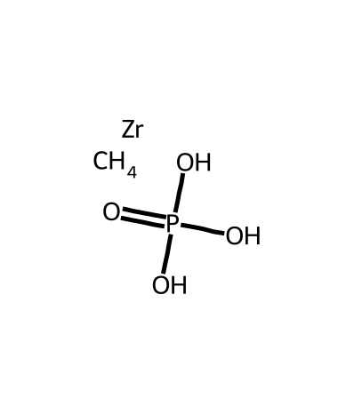 C.O=P(O)(O)O.[Zr]